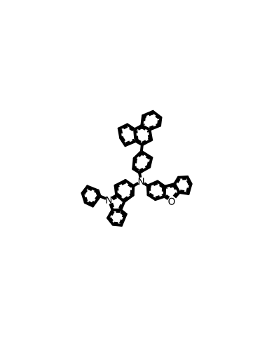 c1ccc(-n2c3ccccc3c3cc(N(c4ccc(-c5cc6ccccc6c6ccccc56)cc4)c4ccc5oc6ccccc6c5c4)ccc32)cc1